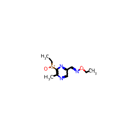 CCO/N=C/c1cnc(C)c([S+]([O-])CC)n1